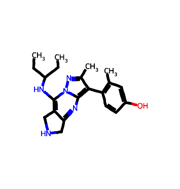 CCC(CC)Nc1c2c(nc3c(-c4ccc(O)cc4C)c(C)nn13)CNC2